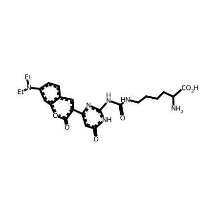 CCN(CC)c1ccc2cc(-c3cc(=O)[nH]c(NC(=O)NCCCCC(N)C(=O)O)n3)c(=O)oc2c1